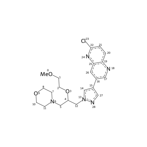 COCCOC(CN1CCOCC1)Cn1cc(-c2cnc3ccc(Cl)nc3c2)cn1